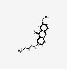 CCCCOc1ccc2oc3ccc(OCCCN)cc3c(=O)c2c1